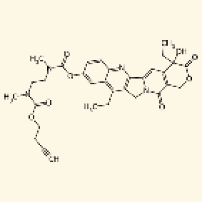 C#CCCOC(=O)N(C)CCN(C)C(=O)Oc1ccc2nc3c(c(CC)c2c1)Cn1c-3cc2c(c1=O)COC(=O)C2(O)CC